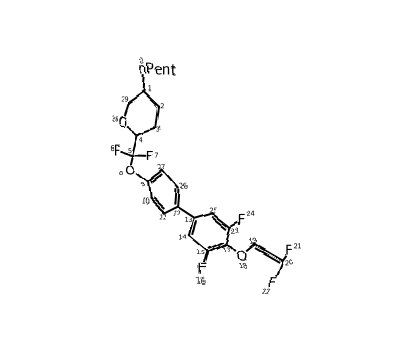 CCCCCC1CCC(C(F)(F)Oc2ccc(-c3cc(F)c(OC=C(F)F)c(F)c3)cc2)OC1